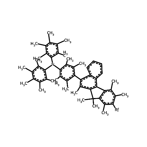 Cc1c(C)c(C)c(N(c2c(C)c(C)c(C)c(C)c2C)c2c(C)c(C)c(-c3c(C)c4c(c5ccccc35)-c3c(C)c(C)[c]([Rf])c(C)c3C4(C)C)c(C)c2C)c(C)c1C